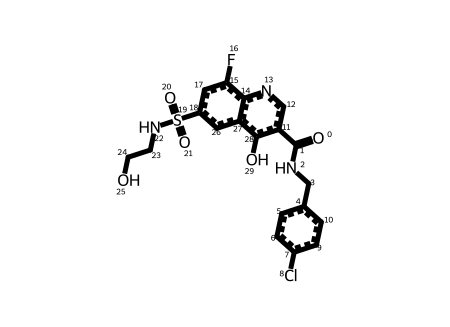 O=C(NCc1ccc(Cl)cc1)c1cnc2c(F)cc(S(=O)(=O)NCCO)cc2c1O